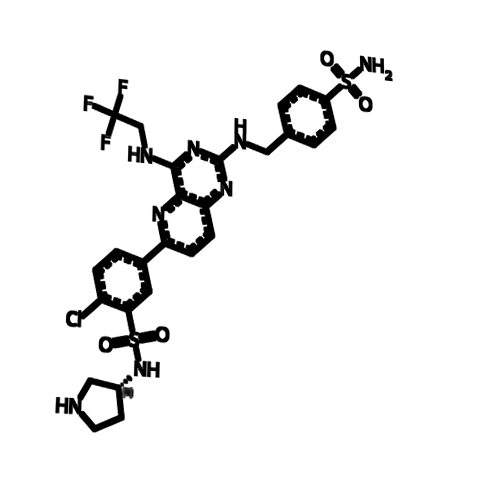 NS(=O)(=O)c1ccc(CNc2nc(NCC(F)(F)F)c3nc(-c4ccc(Cl)c(S(=O)(=O)N[C@@H]5CCNC5)c4)ccc3n2)cc1